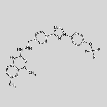 COc1cc(C)ccc1NC(=S)NNCc1ccc(-c2ncn(-c3ccc(OC(F)(F)F)cc3)n2)cc1